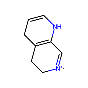 C1=CNC2=C(C1)CC[N+]=C2